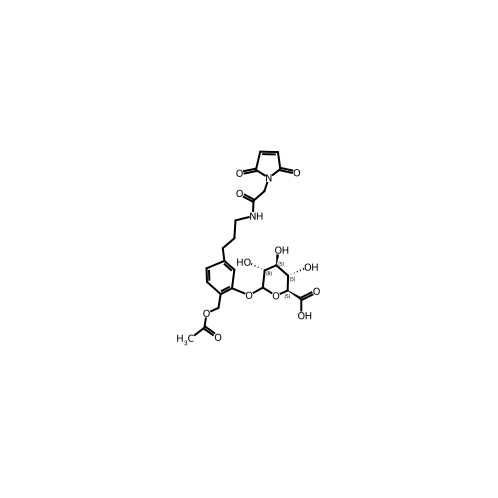 CC(=O)OCc1ccc(CCCNC(=O)CN2C(=O)C=CC2=O)cc1OC1O[C@H](C(=O)O)[C@@H](O)[C@H](O)[C@H]1O